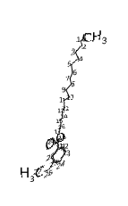 CCCCCCCCCCCCCCCCCCOC(=O)c1cccc(CC)c1